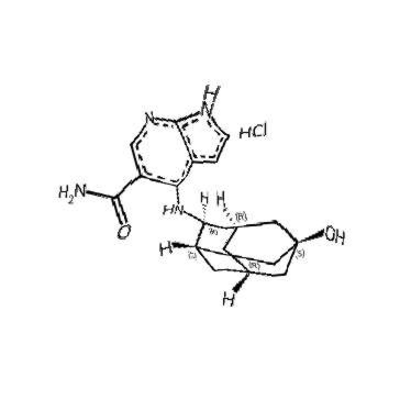 Cl.NC(=O)c1cnc2[nH]ccc2c1N[C@H]1[C@@H]2C[C@H]3C[C@H]1C[C@@](O)(C3)C2